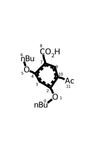 CCCCOc1cc(OCCCC)c(C(=O)O)cc1C(C)=O